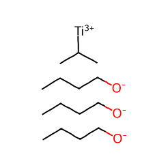 CCCC[O-].CCCC[O-].CCCC[O-].C[CH](C)[Ti+3]